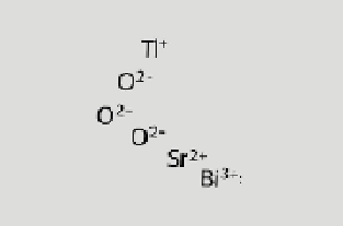 [Bi+3].[O-2].[O-2].[O-2].[Sr+2].[Tl+]